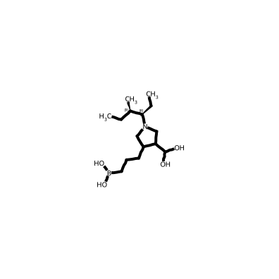 CC[C@@H](C)[C@@H](CC)N1CC(CCCB(O)O)C(C(O)O)C1